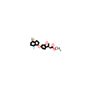 COC(=O)C[C@@H]1COc2cc(OC3CCc4c(Br)ccc(F)c43)ccc21